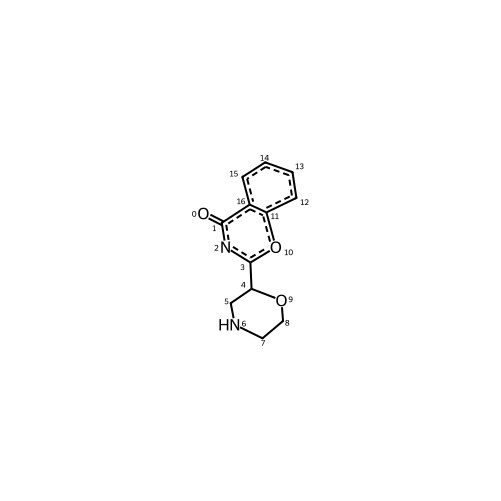 O=c1nc(C2CNCCO2)oc2ccccc12